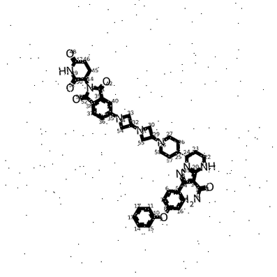 NC(=O)c1c(-c2ccc(Oc3ccccc3)cc2)nn2c1NCC[C@H]2C1CCN(C2CN(C3CN(c4ccc5c(c4)C(=O)N(C4CCC(=O)NC4=O)C5=O)C3)C2)CC1